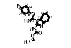 CCOC(=O)Nc1nc2ccccc2n1C(=N)Oc1ccc(F)cc1